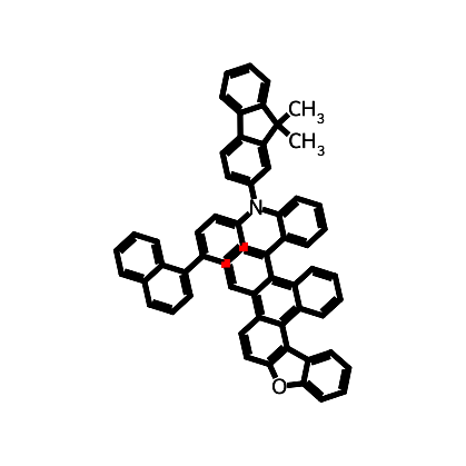 CC1(C)c2ccccc2-c2ccc(N(c3ccc(-c4cccc5ccccc45)cc3)c3ccccc3-c3cccc4c5ccc6oc7ccccc7c6c5c5ccccc5c34)cc21